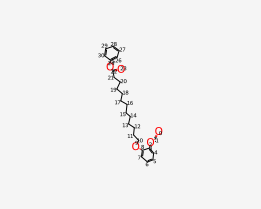 O=[C]Oc1ccccc1OCCCCCCCCCCCCC(=O)Oc1ccccc1